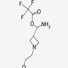 COCCN1CC(C(N)OC(=O)C(F)(F)F)C1